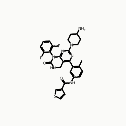 Cc1ccc(NC(=O)c2ccsc2)cc1-c1nc(N2CCC(N)CC2)nc2c1CNC(=O)N2c1c(F)cccc1F